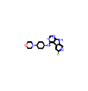 Clc1cc2c(cn1)[nH]c1ncnc(NC3CCC(N4CCOCC4)CC3)c12